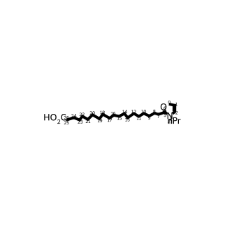 C/C=C\N(CCC)C(=O)CCCCCCCCCCCCCCCCCCCC(=O)O